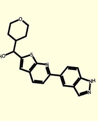 OC(c1cc2ccc(-c3ccc4[nH]ncc4c3)nc2s1)C1CCOCC1